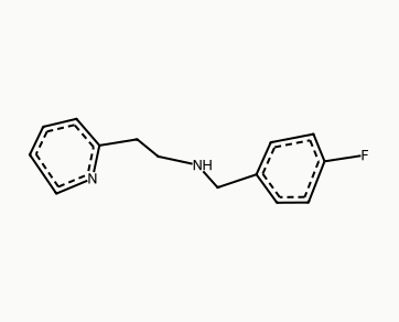 Fc1ccc(CNCCc2ccccn2)cc1